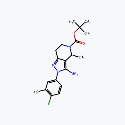 Cc1cc(-n2nc3c(c2N)[C@H](C)N(C(=O)OC(C)(C)C)CC3)ccc1F